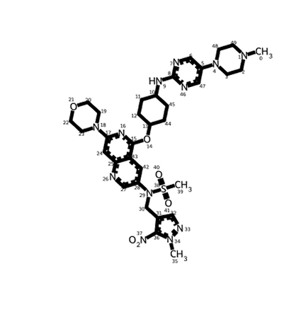 CN1CCN(c2cnc(NC3CCC(Oc4nc(N5CCOCC5)cc5ncc(N(Cc6cnn(C)c6[N+](=O)[O-])S(C)(=O)=O)cc45)CC3)nc2)CC1